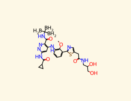 BC(B)(B)NC(=O)c1nnc(NC(=O)C2CC2)cc1Nc1cccc(-c2ncc(CC(=O)NCC(O)CO)s2)c1OC